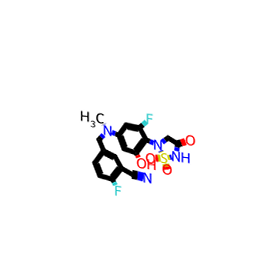 CN(Cc1ccc(F)c(C#N)c1)c1cc(O)c(N2CC(=O)NS2(=O)=O)c(F)c1